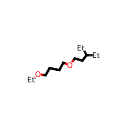 [CH2]COCCCCOCCC(CC)CC